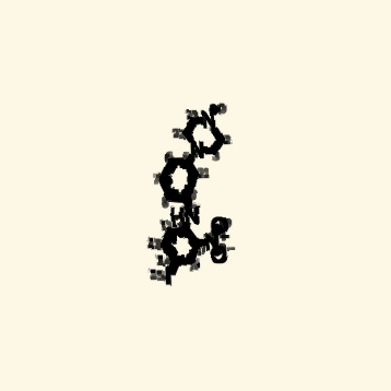 CN1CCN(c2cccc(Nc3ccc(I)cc3[N+](=O)[O-])c2)CC1